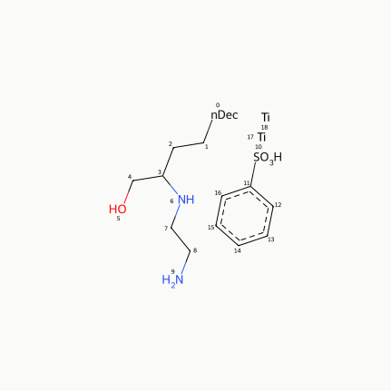 CCCCCCCCCCCCC(CO)NCCN.O=S(=O)(O)c1ccccc1.[Ti].[Ti]